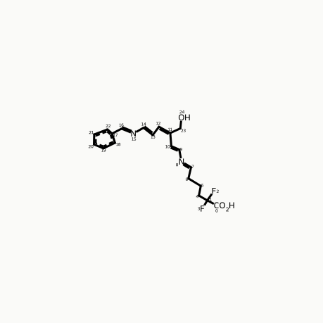 O=C(O)C(F)(F)CCC/C=N/C=C/C(=C\C=C\N=C\c1ccccc1)CO